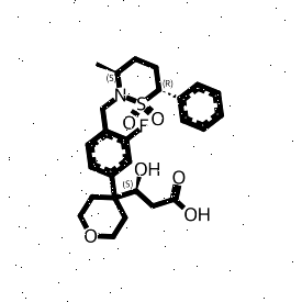 C[C@H]1CC[C@H](c2ccccc2)S(=O)(=O)N1Cc1ccc(C2([C@@H](O)CC(=O)O)CCOCC2)cc1F